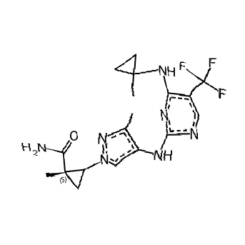 Cc1nn(C2C[C@]2(C)C(N)=O)cc1Nc1ncc(C(F)(F)F)c(NC2(C)CC2)n1